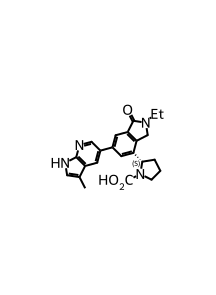 CCN1Cc2c(cc(-c3cnc4[nH]cc(C)c4c3)cc2[C@@H]2CCCN2C(=O)O)C1=O